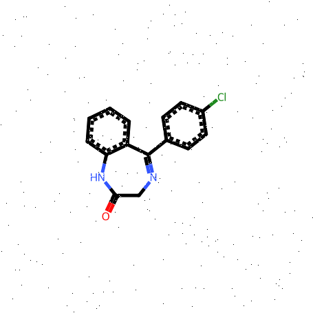 O=C1CN=C(c2ccc(Cl)cc2)c2ccccc2N1